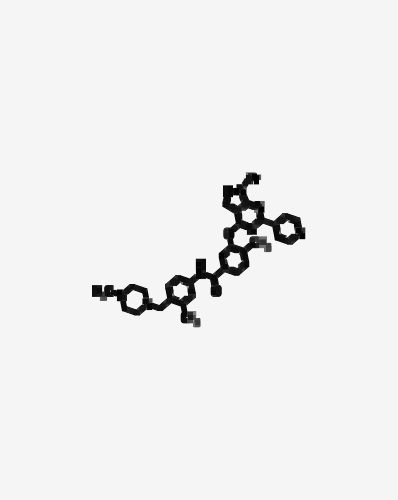 Cc1ccc(C(=O)Nc2ccc(CN3CCN(C)CC3)c(C(F)(F)F)c2)cc1Oc1nc(-c2ccncc2)nc2c1cnn2C(C)C